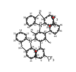 Cc1c(-c2cccc(C(F)(F)F)c2)c(N2c3ccccc3Sc3ccccc32)c(C)c(N2c3ccccc3Sc3ccccc32)c1-c1cccc(C(F)(F)F)c1